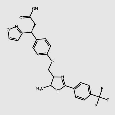 CC1OC(c2ccc(C(F)(F)F)cc2)=NC1COc1ccc([C@H](CC(=O)O)c2ccon2)cc1